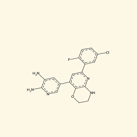 Nc1cc(-c2cc(-c3cc(Cl)ccc3F)nc3c2OCCN3)cnc1N